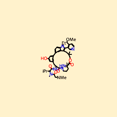 CCn1c(-c2cnccc2COC)c2c3cc(ccc31)-c1cc(O)cc(c1)C[C@H](NC(=O)[C@H](C(C)C)N(C)C(=O)CNC)C(=O)N1CCC[C@H](N1)C(=O)OCC(C)(C)C2